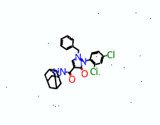 O=C(NC12CC3CC(CC(C3)C1)C2)c1cn(Cc2ccccc2)n(-c2ccc(Cl)cc2Cl)c1=O